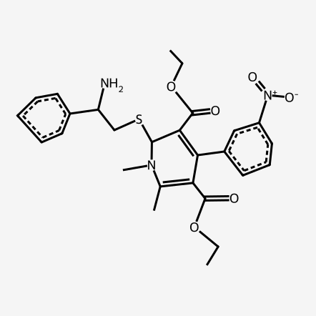 CCOC(=O)C1=C(C)N(C)C(SCC(N)c2ccccc2)C(C(=O)OCC)=C1c1cccc([N+](=O)[O-])c1